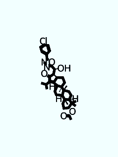 CC(=O)O[C@H]1CC[C@]2(C)[C@H]3CC[C@@H]4C5=C(C(C)C)C(=O)[C@@H]([C@@H](O)c6nnc(-c7ccc(Cl)cc7)o6)C5CC[C@@]4(C)[C@]3(C)CC[C@H]2C1(C)C